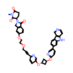 CN1C(=O)CCC(N2Cc3cc(OCCOCC#Cc4ccc(O[C@H]5C[C@H](Oc6ccc(-c7ccc8c(c7)[nH]c7ccncc78)cn6)C5)cn4)ccc3C2=O)C1=O